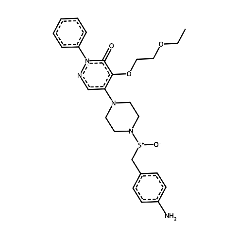 CCOCCOc1c(N2CCN([S+]([O-])Cc3ccc(N)cc3)CC2)cnn(-c2ccccc2)c1=O